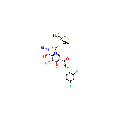 CCN1CN(CCC(C)(C)C=S)n2cc(C(=O)NCc3ccc(F)cc3F)c(=O)c(O)c2C1=O